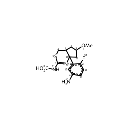 COC1CC2CSC(NC(=O)O)=NC2(c2cc(N)ccc2F)C1